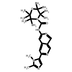 BC1(B)OC(B)(B)C(B)(B)N(C(=O)Nc2cc3cc(-c4cnc(C)n4C)ncc3cn2)C1(B)B